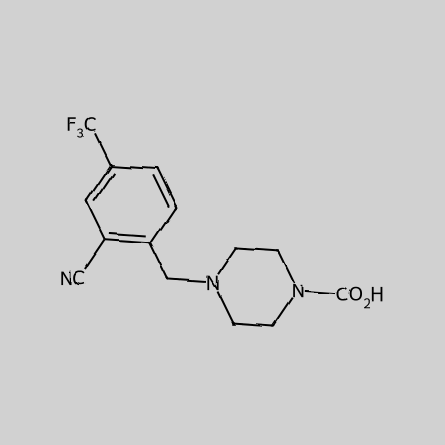 N#Cc1cc(C(F)(F)F)ccc1CN1CCN(C(=O)O)CC1